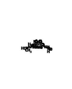 COc1nc(-c2cccc(-c3ccnc(-c4cc(OC)c5nc(CN[C@H]6C[C@](C)(O)C6)nn5c4)c3Cl)c2Cl)ccc1CNC[C@H]1CCC(=O)N1